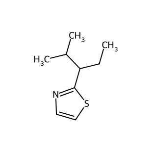 CCC(c1nccs1)C(C)C